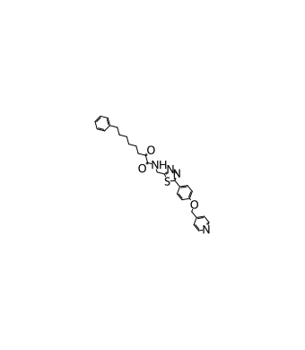 O=C(CCCCCCc1ccccc1)C(=O)NCc1nnc(-c2ccc(OCc3ccncc3)cc2)s1